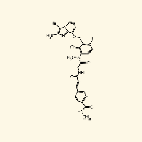 CNC(=O)c1ccc(C=CC(=O)NCC(=O)N(C)c2ccc(Cl)c(COc3cccn4c(Br)c(C)nc34)c2Cl)cc1